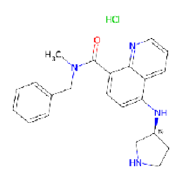 CN(Cc1ccccc1)C(=O)c1ccc(N[C@H]2CCNC2)c2cccnc12.Cl